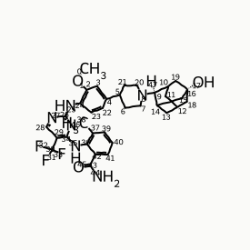 COc1cc(C2CCN([C@H]3C4CC5CC3C[C@](O)(C5)C4)CC2)ccc1Nc1ncc(C(F)(F)F)c(Nc2c(C)cccc2C(N)=O)n1